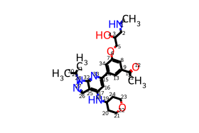 CNCC(O)COc1cc(C(C)=O)cc(-c2cc(NC3CCOCC3)c3cnn(C(C)C)c3n2)c1